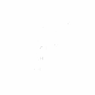 CC1C2OC(=O)C3C2CC1C3(C)C